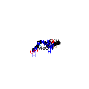 COc1cc(N2CCC(CN3CCC4(CCCN(c5cc6c(cc5F)CN(C5CCC(=O)NC5=O)C6)C4)CC3)CC2)c(-c2cnn(C)c2)cc1Nc1ncc(Br)c(Nc2ccc(-c3ccccc3)cc2P(C)(C)=O)n1